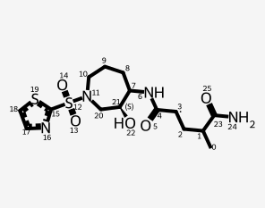 CC(C[CH]C(=O)NC1CCCN(S(=O)(=O)c2nccs2)C[C@@H]1O)C(N)=O